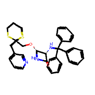 O=C1N[C@H](OCC2(Cc3cccnc3)SCCCS2)[C@@H]1NC(c1ccccc1)(c1ccccc1)c1ccccc1